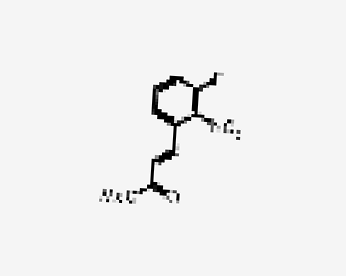 COC(=O)C=Cc1cccc(F)c1[N+](=O)[O-]